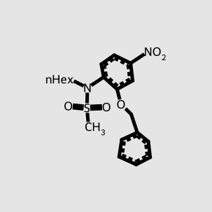 CCCCCCN(c1ccc([N+](=O)[O-])cc1OCc1ccccc1)S(C)(=O)=O